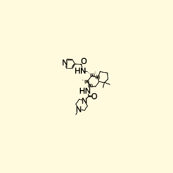 C[C@H]1[C@H](NC(=O)N2CCN(C)CC2)CC2C(C)(C)CCC[C@]2(C)[C@H]1CNC(=O)c1ccncc1